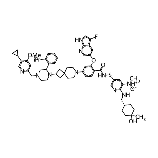 COc1cc(CN2CCN(C3CC4(CCN(c5ccc(C(=O)NSc6cnc(NC[C@H]7CC[C@](C)(O)CC7)c([NH+](C)[O-])c6)c(Oc6cnc7[nH]cc(F)c7c6)c5)CC4)C3)C(c3ccccc3C(C)C)C2)ncc1C1CC1